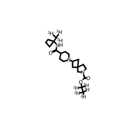 [2H]C([2H])([2H])C1(NC(=O)C2CCN(C3CC4(CCN(C(=O)OC([2H])([2H])C([2H])([2H])[2H])C4)C3)CC2)CCC1